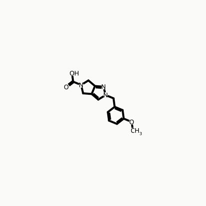 COc1cccc(Cn2cc3c(n2)CN(C(=O)O)C3)c1